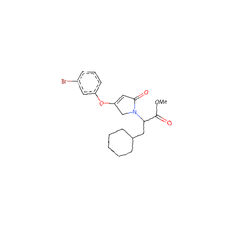 COC(=O)C(CC1CCCCC1)N1CC(Oc2cccc(Br)c2)=CC1=O